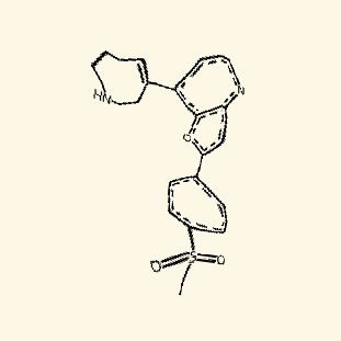 CS(=O)(=O)c1ccc(-c2cc3nccc(C4=CCCNC4)c3o2)cc1